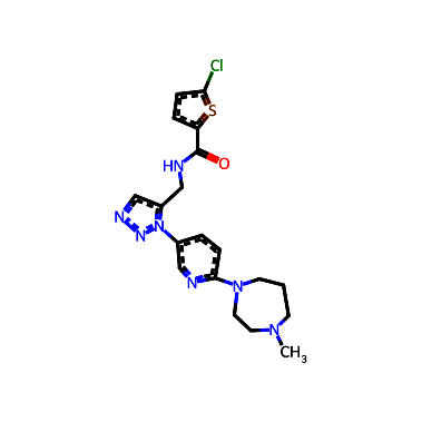 CN1CCCN(c2ccc(-n3nncc3CNC(=O)c3ccc(Cl)s3)cn2)CC1